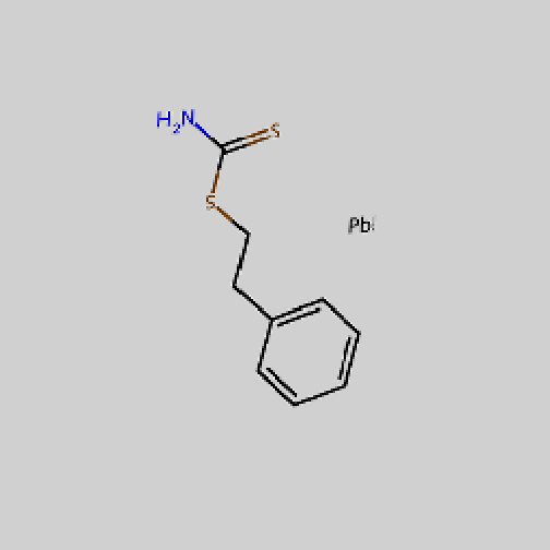 NC(=S)SCCc1ccccc1.[Pb]